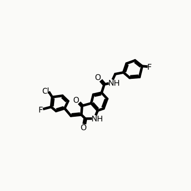 O=C1Nc2ccc(C(=O)NCc3ccc(F)cc3)cc2C(=O)/C1=C\c1ccc(Cl)c(F)c1